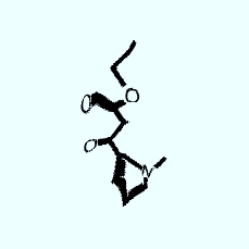 CCOC(=O)CC(=O)c1cccn1C